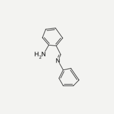 Nc1ccccc1C=Nc1ccccc1